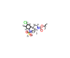 C=C(C)OC(=O)N1CCC(c2cc(Cl)c(C)cc2N(C(F)(F)F)S(C)(=O)=O)CC1